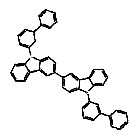 C1=CC(c2ccccc2)CC(n2c3ccccc3c3cc(-c4ccc5c(c4)c4ccccc4n5-c4cccc(-c5ccccc5)c4)ccc32)=C1